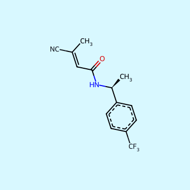 C/C(C#N)=C\C(=O)N[C@@H](C)c1ccc(C(F)(F)F)cc1